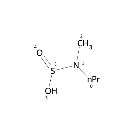 CCCN(C)S(=O)O